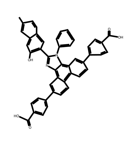 Cc1ccc2cc(-c3nc4c5cc(-c6ccc(C(=O)O)cc6)ccc5c5ccc(-c6ccc(C(=O)O)cc6)cc5c4n3-c3ccccc3)c(O)cc2c1